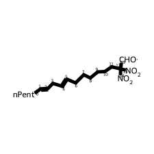 CCCCC/C=C/C/C=C/CCCCCCC([C]=O)([N+](=O)[O-])[N+](=O)[O-]